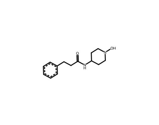 O=C(CCc1ccccc1)NC1CCN(O)CC1